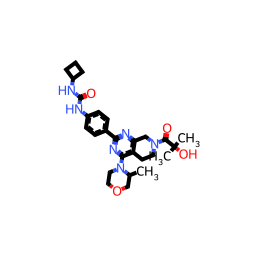 CC1COCCN1c1nc(-c2ccc(NC(=O)NC3CCC3)cc2)nc2c1CCN(C(=O)C(C)(C)O)C2